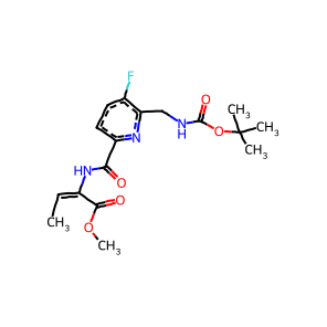 C/C=C(/NC(=O)c1ccc(F)c(CNC(=O)OC(C)(C)C)n1)C(=O)OC